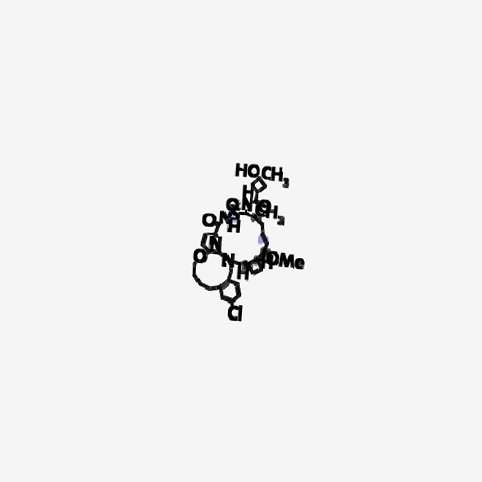 CO[C@H]1/C=C/C[C@H](C)C(NC(=O)[C@H]2C[C@@](C)(O)C2)/[SH](=O)=N\C(=O)c2ccc3c(n2)N(Cc2ccc(Cl)cc2CCCCO3)C[C@@H]2CC[C@H]21